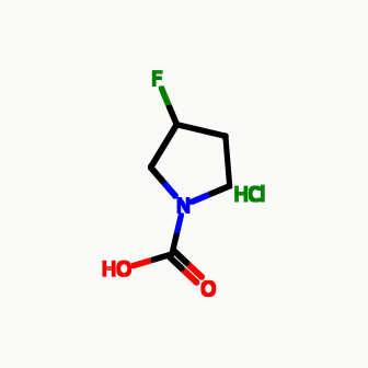 Cl.O=C(O)N1CCC(F)C1